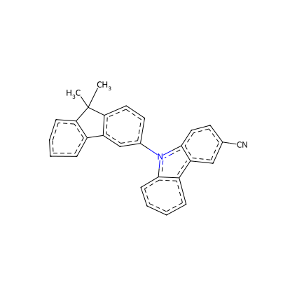 CC1(C)c2ccccc2-c2cc(-n3c4ccccc4c4cc(C#N)ccc43)ccc21